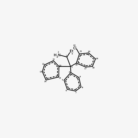 CCC(N)C(c1ccccc1)(c1ccccc1)c1ccccc1Cl